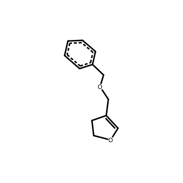 C1=C(COCc2ccccc2)CCO1